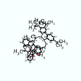 C=C1CC2C(CCc3ccc4c(oc5ccccc54)c3-c3n(-c4c(C(C)C)cccc4C(C)C)c4ccccc4[n+]31)c1cc(C(C)C)ccc1-c1cc(C(C)C)c([Si](C)(C)C)c[n+]12